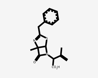 C=C(C)C(C(=O)O)N1C(=O)C2(C)N=C(Cc3ccccc3)SC12